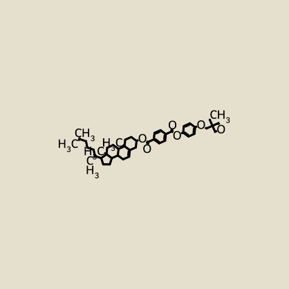 CCC1(COc2ccc(OC(=O)c3ccc(C(=O)OC4CCC5(C)C(=CCC6C5CCC5(C)C(C(C)CCCC(C)C)CCC65)C4)cc3)cc2)COC1